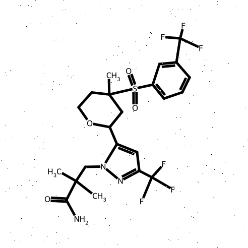 CC(C)(Cn1nc(C(F)(F)F)cc1C1CC(C)(S(=O)(=O)c2cccc(C(F)(F)F)c2)CCO1)C(N)=O